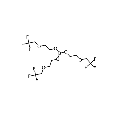 FC(F)(F)COCCOB(OCCOCC(F)(F)F)OCCOCC(F)(F)F